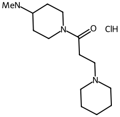 CNC1CCN(C(=O)CCN2CCCCC2)CC1.Cl